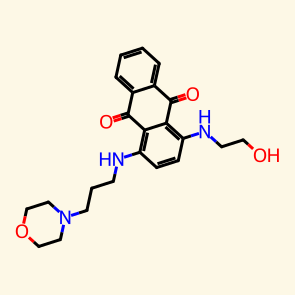 O=C1c2ccccc2C(=O)c2c(NCCCN3CCOCC3)ccc(NCCO)c21